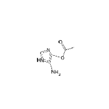 CC(=O)Oc1nc[nH]c1N